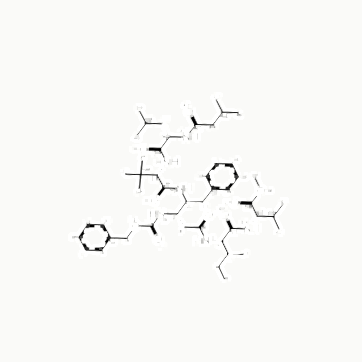 CC[C@H](C)[C@H](NC(=O)C[C@H](NC(=O)OCc1ccccc1)[C@H](Cc1ccccc1)NC(=O)[C@@H](NC(=O)[C@H](CC(C)C)NC(=O)CC(C)C)C(C)(C)C)C(=O)N[C@H](C(=O)OC)C(C)C